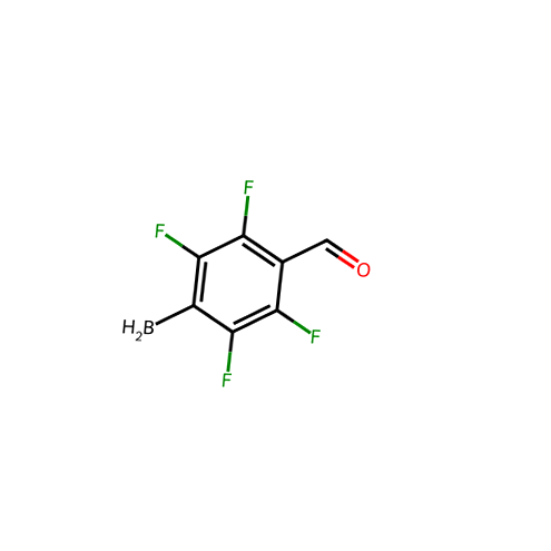 Bc1c(F)c(F)c(C=O)c(F)c1F